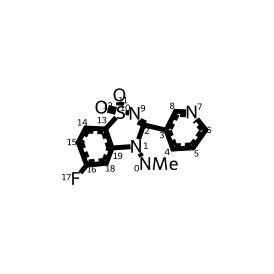 CNN1C(c2cccnc2)=NS(=O)(=O)c2ccc(F)cc21